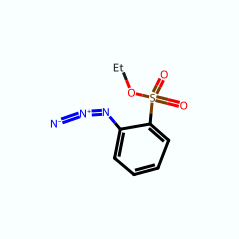 CCOS(=O)(=O)c1ccccc1N=[N+]=[N-]